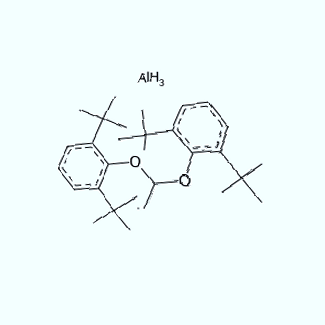 [AlH3].[CH2]C(Oc1c(C(C)(C)C)cccc1C(C)(C)C)Oc1c(C(C)(C)C)cccc1C(C)(C)C